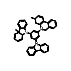 CC1C=CC2=C(C1)N(c1cc(N3c4ccccc4C4(C)C=CC=CC34)cc(-n3c4ccccc4c4ccccc43)c1)Cc1ccccc12